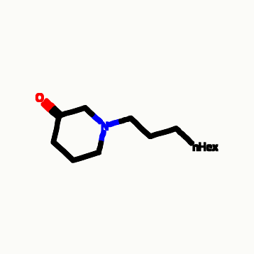 CCCCCCCCCN1CCCC(=O)C1